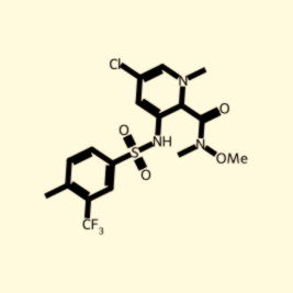 CON(C)C(=O)C1C(NS(=O)(=O)c2ccc(C)c(C(F)(F)F)c2)=CC(Cl)=CN1C